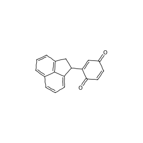 O=C1C=CC(=O)C(C2Cc3cccc4cccc2c34)=C1